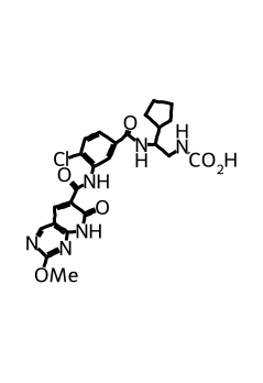 COc1ncc2cc(C(=O)Nc3cc(C(=O)NC(CNC(=O)O)C4CCCC4)ccc3Cl)c(=O)[nH]c2n1